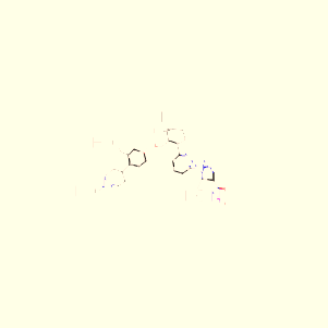 CCc1cc(OCC2=C(c3cccc(-n4ncc(C(=O)N=O)c4CC)n3)CCCC2C)ccc1C1CCN(C)CC1